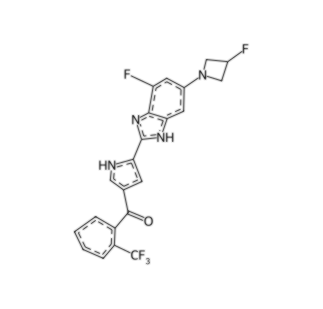 O=C(c1c[nH]c(-c2nc3c(F)cc(N4CC(F)C4)cc3[nH]2)c1)c1ccccc1C(F)(F)F